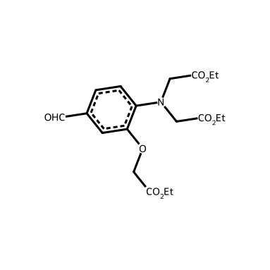 CCOC(=O)COc1cc(C=O)ccc1N(CC(=O)OCC)CC(=O)OCC